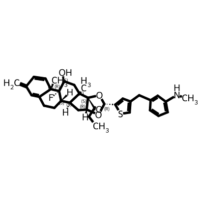 C=C1C=C[C@@]2(C)C(=C1)CC[C@H]1[C@@H]3C[C@H]4O[C@@H](c5cc(Cc6cccc(NC)c6)cs5)O[C@@]4(C(=O)CC)[C@@]3(C)C[C@H](O)[C@@]12F